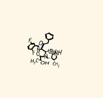 C[C@H](O)C(=O)N(C[C@@H]1CNC[C@@H]1C)[C@@H](c1nc(-c2cc(F)ccc2F)oc1Cc1ccccc1)C(C)(C)C